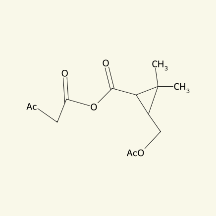 CC(=O)CC(=O)OC(=O)C1C(COC(C)=O)C1(C)C